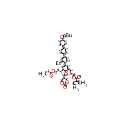 C=CC(=O)OCCCc1cc(-c2ccc(-c3ccc(C4CCC(OCCCC)CC4)cc3)cc2CC)cc(CCCOC(=O)C(=C)C)c1OCC1COC(=O)OC1